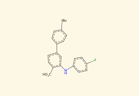 CC(C)(C)c1ccc(-c2ccc(C(=O)O)c(Nc3ccc(F)cc3)c2)cc1